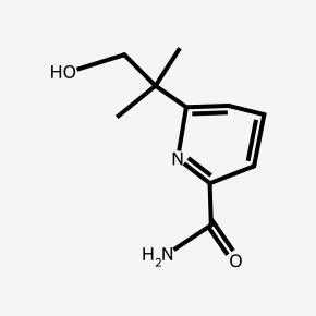 CC(C)(CO)c1cccc(C(N)=O)n1